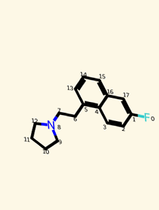 Fc1ccc2c(CCN3CCCC3)cccc2c1